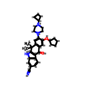 CC1(C)c2cc(N3CCN(C4CCC4)CC3)c(OC3CCCC3)cc2C(=O)c2c1[nH]c1cc(C#N)ccc21